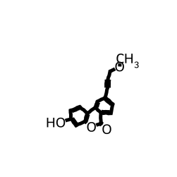 COCC#Cc1ccc2c(=O)oc3cc(O)ccc3c2c1